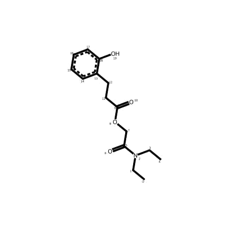 CCN(CC)C(=O)COC(=O)CCc1ccccc1O